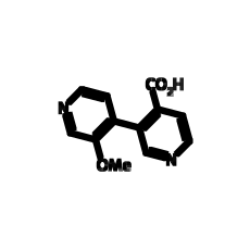 COc1cnccc1-c1cnccc1C(=O)O